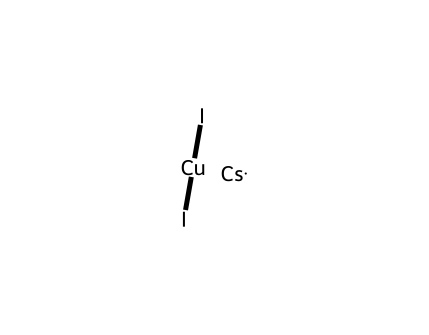 [Cs].[I][Cu][I]